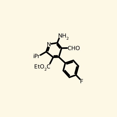 CCOC(=O)c1c(C(C)C)nc(N)c(C=O)c1-c1ccc(F)cc1